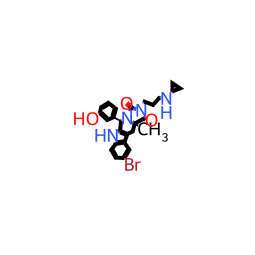 C[C@@]12Cc3c([nH]c4ccc(Br)cc34)[C@@H](c3cccc(O)c3)N1C(=O)N(CCCNC1CC1)C2=O